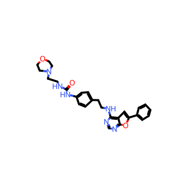 O=C(NCCN1CCOCC1)Nc1ccc(CCNc2ncnc3oc(-c4ccccc4)cc23)cc1